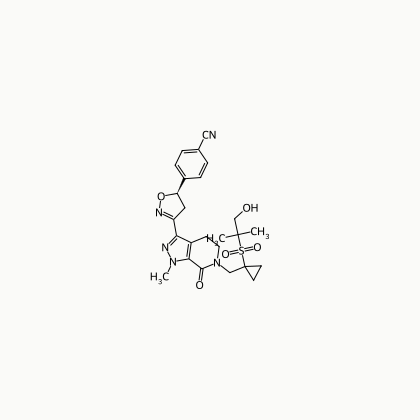 Cn1nc(C2=NO[C@@H](c3ccc(C#N)cc3)C2)c2c1C(=O)N(CC1(S(=O)(=O)C(C)(C)CO)CC1)CC2